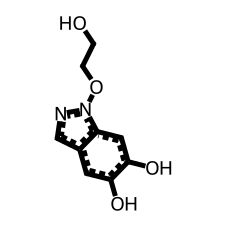 OCCOn1ncc2cc(O)c(O)cc21